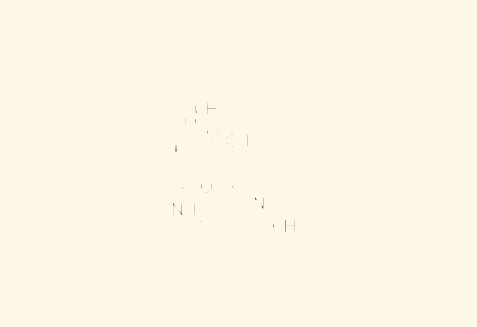 CCN1CCC([C@@H]2Cc3c(ccc(OC)c3OC)[C@H](CN)O2)CC1